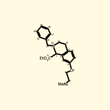 CCOC(=O)C1c2cc(OCCNC)ccc2CCN1Cc1ccccc1